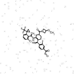 C=C(NC1=C(C(=N)c2ccc(C(=O)N=O)cc2F)CCC(C(=O)N2CC(OC)C2)C1)c1c(Cl)cccc1C1(C(F)(F)F)CC1